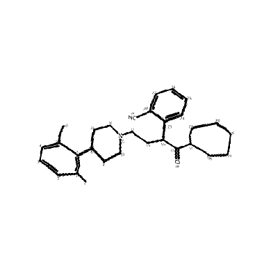 Cc1cccc(C)c1C1CCN(CCC(C(=O)C2CCCCC2)c2ccccc2C#N)CC1